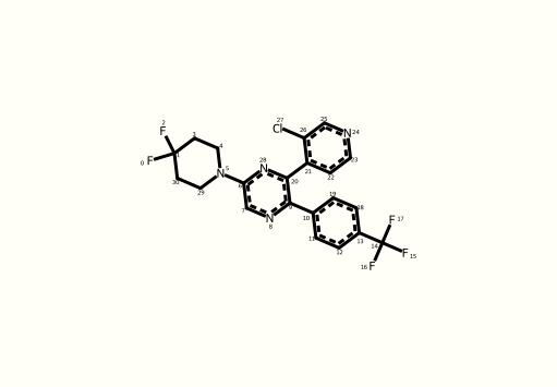 FC1(F)CCN(c2cnc(-c3ccc(C(F)(F)F)cc3)c(-c3ccncc3Cl)n2)CC1